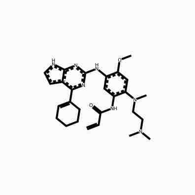 C=CC(=O)Nc1cc(Nc2nc(C3=CCCCC3)c3cc[nH]c3n2)c(OC)cc1N(C)CCN(C)C